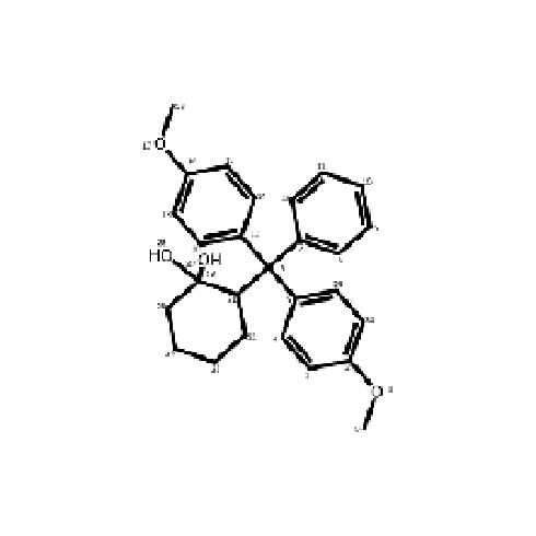 COc1ccc(C(c2ccccc2)(c2ccc(OC)cc2)C2CCCCC2(O)O)cc1